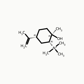 C=C(C)[C@@H]1CC[C@@](C)(O)[C@H]([N+](C)(C)C)C1